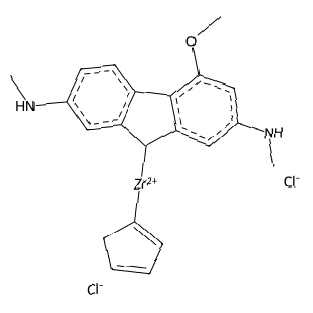 CNc1ccc2c(c1)[CH]([Zr+2][C]1=CC=CC1)c1cc(NC)cc(OC)c1-2.[Cl-].[Cl-]